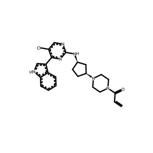 C=CC(=O)N1CCN([C@H]2CC[C@@H](Nc3ncc(Cl)c(-c4c[nH]c5ccccc45)n3)C2)CC1